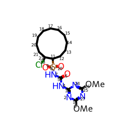 COc1nc(NC(=O)NS(=O)(=O)C2CCCCCCCCCCC2Cl)nc(OC)n1